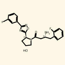 Cl.N[C@@H](CC(=O)N1CCC[C@H]1c1nc(-c2cccc(F)c2)no1)Cc1ccccc1F